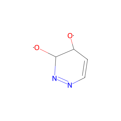 [O]C1C=CN=NC1[O]